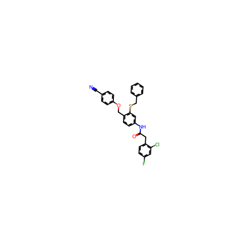 N#Cc1ccc(OCc2ccc(NC(=O)Cc3ccc(F)cc3Cl)cc2SCc2ccccc2)cc1